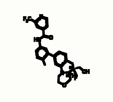 Cc1ccc(NC(=O)c2ccnc(C(F)(F)F)c2)cc1-c1ccc2c(c1)N1CCOC[C@H]1[C@](CO)(CF)C2